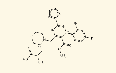 COC(=O)C1=C(CN2CCSC[C@H]2CC(C)C(=O)O)NC(c2nccs2)=N[C@H]1c1ccc(F)cc1Br